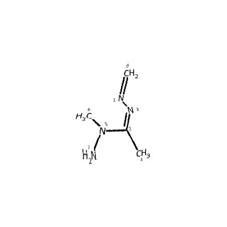 C=N/N=C(/C)N(C)N